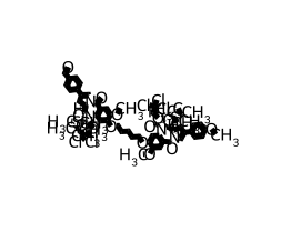 COc1ccc(C2=CN3C(=O)c4cc(OC)c(OCCCCCOc5cc6c(cc5OC)C(=O)N5C=C(c7ccc(C=O)cc7)C[C@H]5C(O[Si](C)(C)C(C)(C)C)N6C(=O)OCC(Cl)(Cl)Cl)cc4N(C(=O)OCC(Cl)(Cl)Cl)C(O[Si](C)(C)C(C)(C)C)[C@@H]3C2)cc1